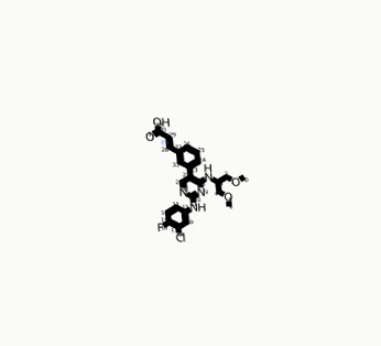 COCC(COC)Nc1nc(Nc2ccc(F)c(Cl)c2)ncc1-c1cccc(/C=C/C(=O)O)c1